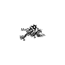 COCC(=O)N(c1c(C)cccc1C)[C@H](C)C(=O)OC.S=C([S-])NCCNC(=S)[S-].S=C([S-])NCCNC(=S)[S-].[Mn+2].[Mn+2]